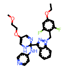 CCOc1cc(F)c(Cn2nc(C3(Nc4ccncc4)N=CC(OCCOC)=CN3)c3ccccc32)c(F)c1